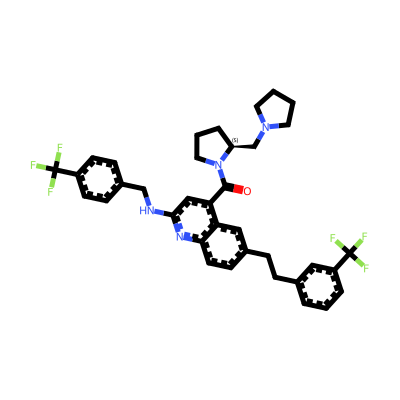 O=C(c1cc(NCc2ccc(C(F)(F)F)cc2)nc2ccc(CCc3cccc(C(F)(F)F)c3)cc12)N1CCC[C@H]1CN1CCCC1